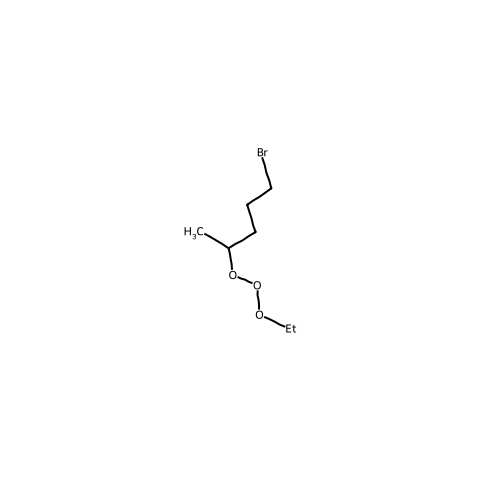 CCOOOC(C)CCCBr